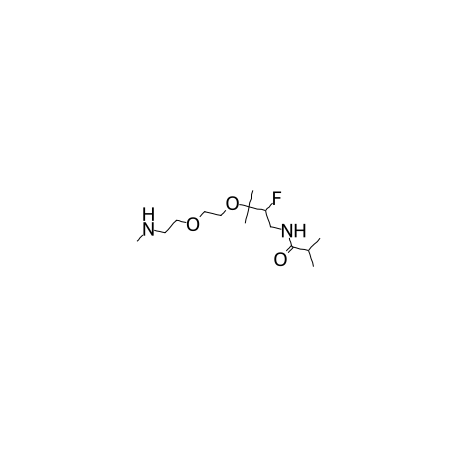 CNCCOCCOC(C)(C)C(F)CNC(=O)C(C)C